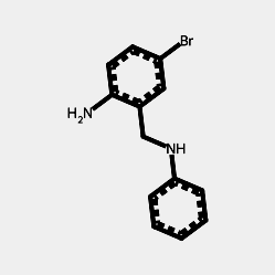 Nc1ccc(Br)cc1CNc1ccccc1